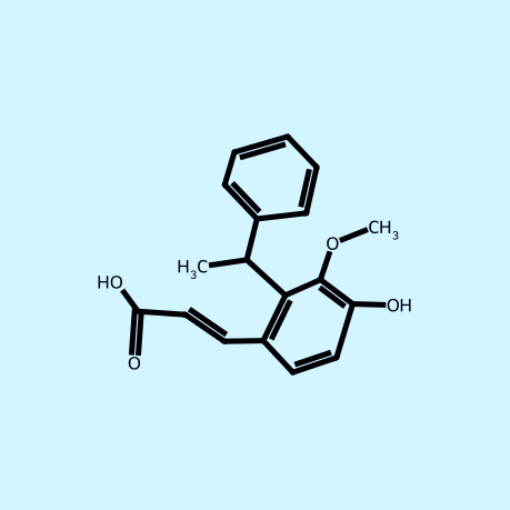 COc1c(O)ccc(C=CC(=O)O)c1C(C)c1ccccc1